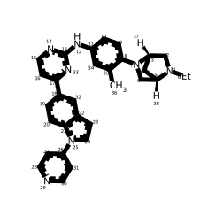 CCN1C[C@@H]2C[C@H]1CN2c1ccc(Nc2nccc(-c3ccc4c(ccn4-c4ccncc4)c3)n2)cc1C